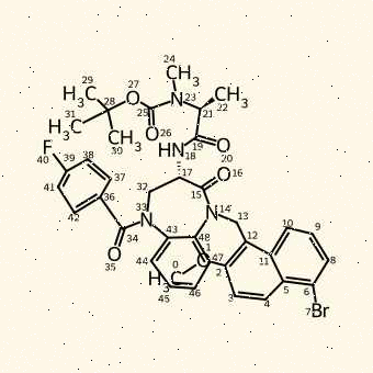 COc1ccc2c(Br)cccc2c1CN1C(=O)[C@@H](NC(=O)[C@H](C)N(C)C(=O)OC(C)(C)C)CN(C(=O)c2ccc(F)cc2)c2ccccc21